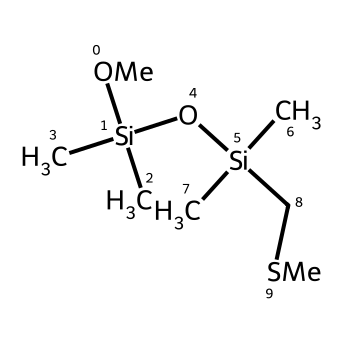 CO[Si](C)(C)O[Si](C)(C)CSC